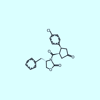 O=C1C[C@H](c2ccc(Cl)cc2)[C@H](C(=O)N2C(=O)OC[C@@H]2Cc2ccccc2)C1